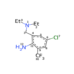 CCN(CC)Cc1cc(Cl)cc(C(F)(F)F)c1N